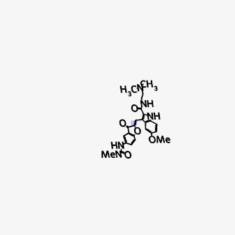 CNC(=O)Nc1ccc2c(c1)C(=O)/C(=C/c1c(C(=O)NCCN(C)C)[nH]c3ccc(OC)cc13)O2